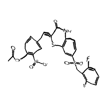 CC(=O)Oc1ccc(C=C2Sc3cc(S(=O)(=O)Cc4c(F)cccc4F)ccc3NC2=O)cc1[N+](=O)[O-]